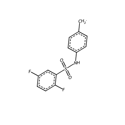 [CH2]c1ccc(NS(=O)(=O)c2cc(F)ccc2F)cc1